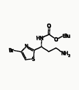 CC(C)(C)OC(=O)NC(CCN)c1nc(Br)cs1